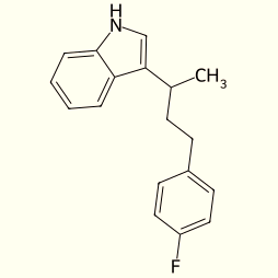 CC(CCc1ccc(F)cc1)c1c[nH]c2ccccc12